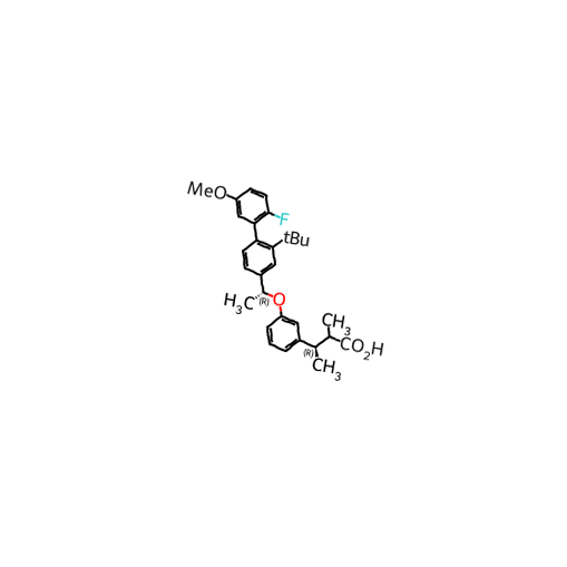 COc1ccc(F)c(-c2ccc([C@@H](C)Oc3cccc([C@H](C)C(C)C(=O)O)c3)cc2C(C)(C)C)c1